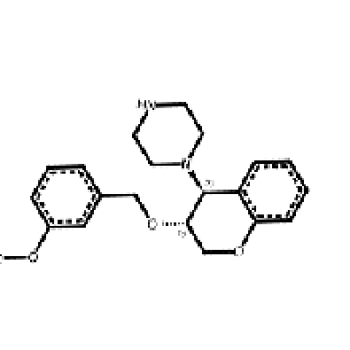 FC(F)(F)Oc1cccc(CO[C@H]2COc3ccccc3[C@@H]2N2CCNCC2)c1